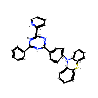 c1ccc(-c2nc(-c3ccc(N4c5ccccc5Sc5ccccc54)cc3)nc(-c3ccccn3)n2)cc1